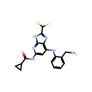 CCc1ccccc1Nc1cc(NC(=O)C2CC2)nc2[nH]c(C(F)F)nc12